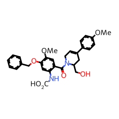 COc1ccc(C2=CCN(C(=O)c3cc(OC)c(OCc4ccccc4)cc3NC(=O)O)C(CO)C2)cc1